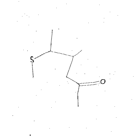 CSC(C)C(C)CC(C)=O